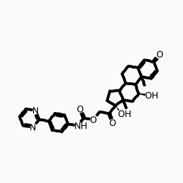 CC12C=CC(=O)C=C1CCC1C2[C@@H](O)CC2(C)C1CC[C@]2(O)C(=O)COC(=O)Nc1ccc(-c2ncccn2)cc1